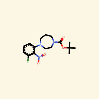 CC(C)(C)OC(=O)N1CCCN(c2cccc(Cl)c2[N+](=O)[O-])CC1